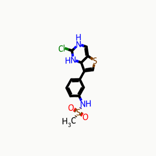 CS(=O)(=O)Nc1cccc(C2=CSC3=CNC(Cl)NC32)c1